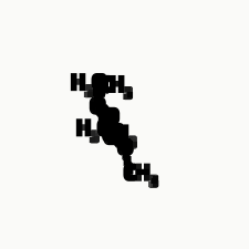 CCCCCCCCOc1ccc(C(=O)Oc2ccc(OC(=O)c3ccc(OCCc4ccc(N(C)C)cc4)cc3)c(C)c2C)cc1